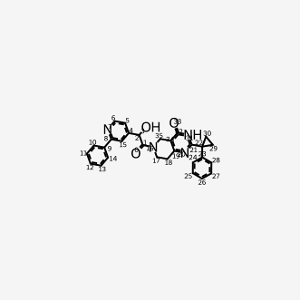 O=C(C(O)c1ccnc(-c2ccccc2)c1)N1CCc2nc(C3(c4ccccc4)CC3)[nH]c(=O)c2C1